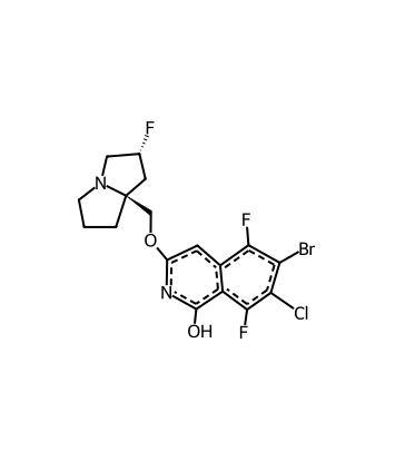 Oc1nc(OC[C@@]23CCCN2C[C@H](F)C3)cc2c(F)c(Br)c(Cl)c(F)c12